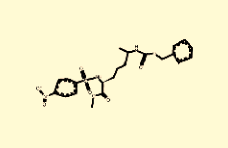 COC(=O)[C@H](CCCC(C)NC(=O)OCc1ccccc1)NS(=O)(=O)c1ccc([N+](=O)[O-])cc1